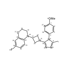 COc1ccc(-n2c(C)nnc2N2CC(N3CCOc4cc(F)ccc43)C2)cn1